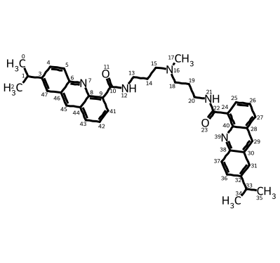 CC(C)c1ccc2nc3c(C(=O)NCCCN(C)CCCNC(=O)c4cccc5cc6cc(C(C)C)ccc6nc45)cccc3cc2c1